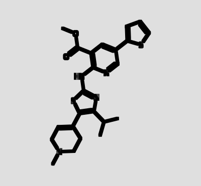 COC(=O)c1cc(-c2cccs2)cnc1Nc1nc(C(C)C)c(C2=CCN(C)CC2)s1